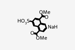 COC(=O)c1cc(S(=O)(=O)O)cc2c(C(=O)OC)cccc12.[NaH]